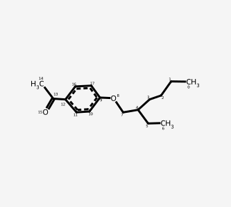 CCCCC(CC)COc1ccc(C(C)=O)cc1